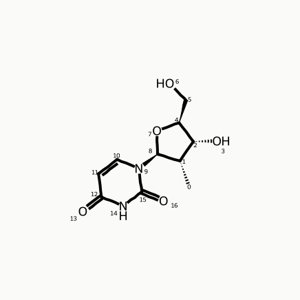 C[C@H]1[C@@H](O)[C@H](CO)O[C@@H]1n1ccc(=O)[nH]c1=O